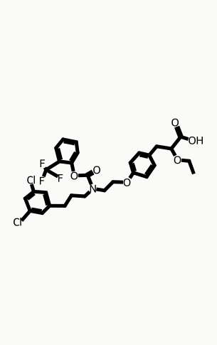 CCOC(Cc1ccc(OCCN(CCCc2cc(Cl)cc(Cl)c2)C(=O)Oc2ccccc2C(F)(F)F)cc1)C(=O)O